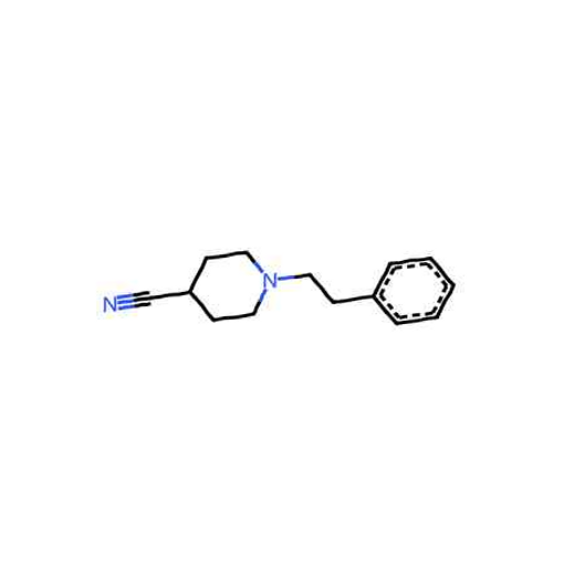 N#CC1CCN(CCc2ccccc2)CC1